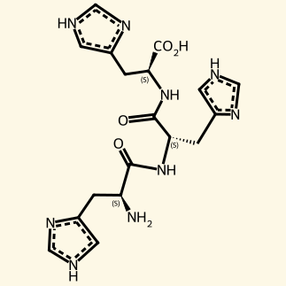 N[C@@H](Cc1c[nH]cn1)C(=O)N[C@@H](Cc1c[nH]cn1)C(=O)N[C@@H](Cc1c[nH]cn1)C(=O)O